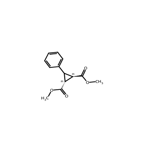 COC(=O)[C@@H]1C(c2ccccc2)[C@H]1C(=O)OC